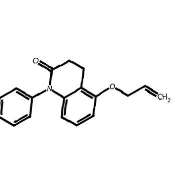 C=CCOc1cccc2c1CCC(=O)N2c1ccccc1